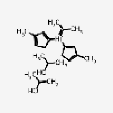 CC(C)O.CC(C)O.CC1=CC[C]([Hf]([C]2=CC(C)=CC2)=[C](C)C)=C1